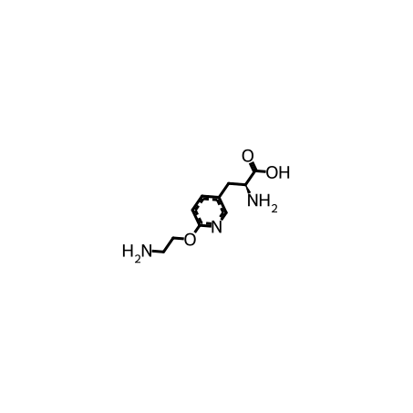 NCCOc1ccc(C[C@H](N)C(=O)O)cn1